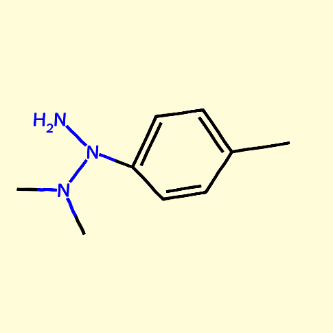 Cc1ccc(N(N)N(C)C)cc1